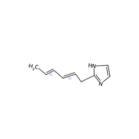 [CH2]/C=C/C=C/Cc1ncc[nH]1